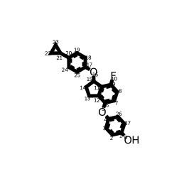 Oc1ccc(Oc2ccc(F)c3c2CCC3Oc2ccc(C3CC3)cc2)cc1